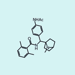 CC(=O)Nc1ccc(C(NC(=O)c2c(C)cccc2C)C23CCC(CC2)N3C)cc1